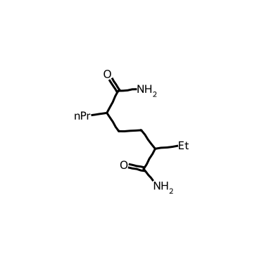 CCCC(CCC(CC)C(N)=O)C(N)=O